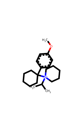 COc1ccc(C2([N+]3(C(C)C)CCCCC3)CCCCC2)cc1